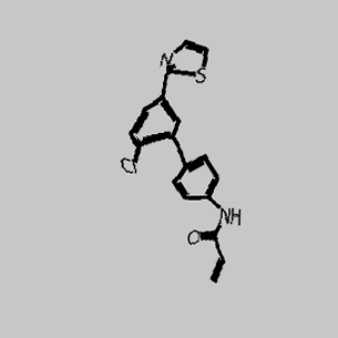 C=CC(=O)Nc1ccc(-c2cc(-c3nccs3)ccc2Cl)cc1